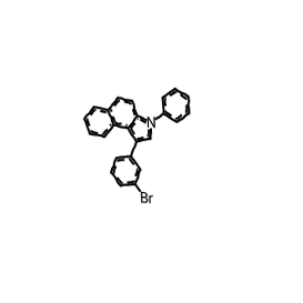 Brc1cccc(-c2cn(-c3ccccc3)c3ccc4ccccc4c23)c1